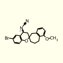 COc1cccc2c1CCCC1(C/C(=N\C#N)c3cc(Br)ccc3O1)C2